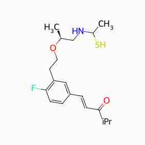 CC(S)NC[C@H](C)OCCc1cc(/C=C/C(=O)C(C)C)ccc1F